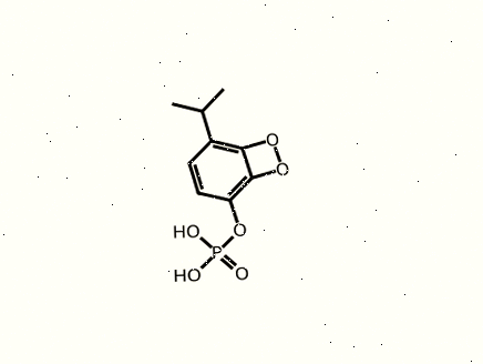 CC(C)c1ccc(OP(=O)(O)O)c2ooc12